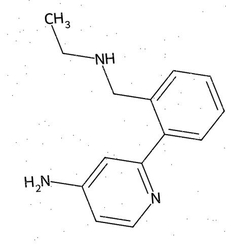 CCNCc1ccccc1-c1cc(N)ccn1